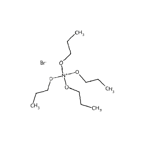 CCCO[N+](OCCC)(OCCC)OCCC.[Br-]